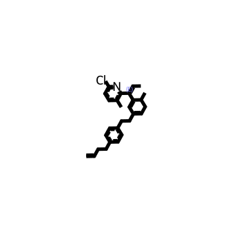 C=CCCc1ccc(CCC2=CCC(C)C(/C(=C\C)c3nc(Cl)ccc3C)=C2)cc1